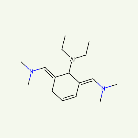 C[CH2][Al]([CH2]C)[CH]1C(=CN(C)C)C=CCC1=CN(C)C